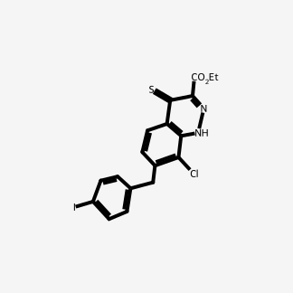 CCOC(=O)c1n[nH]c2c(Cl)c(Cc3ccc(I)cc3)ccc2c1=S